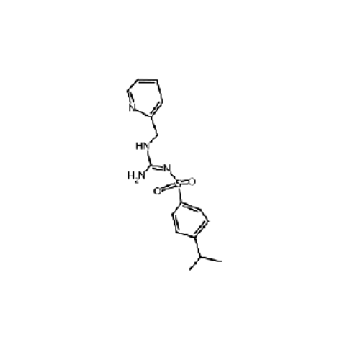 CC(C)c1ccc(S(=O)(=O)/N=C(\N)NCc2ccccn2)cc1